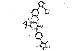 Cc1n[nH]c(C)c1-c1ccc(NC(=O)[C@H](Cc2cc(-c3ccnn3C3CCC3)ccc2Cl)NC(=O)C2(F)CC2)cc1